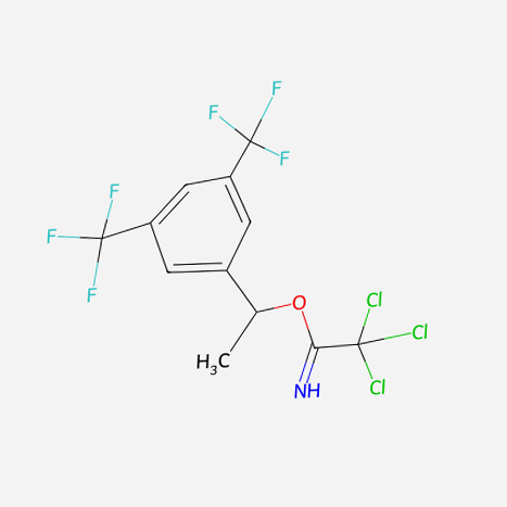 CC(OC(=N)C(Cl)(Cl)Cl)c1cc(C(F)(F)F)cc(C(F)(F)F)c1